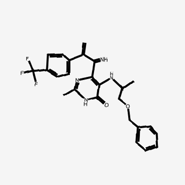 C=C(C(=N)c1nc(C)[nH]c(=O)c1NC(C)COCc1ccccc1)c1ccc(C(F)(F)F)cc1